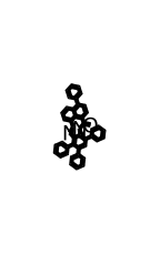 O=c1c2ccc(-c3ccccc3)c3cccc(c32)c2nc3c(-c4ccccc4)c(-c4ccccc4)cc(-c4ccccc4)c3n12